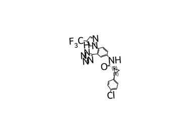 O=C(Nc1ccc(-n2cc(C(F)(F)F)cn2)c(-c2nnn[nH]2)c1)[C@@H]1C[C@H]1c1ccc(Cl)cc1